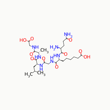 CC(C)C[C@H](NC(=O)CNC(=O)[C@H](CCCCCC(=O)O)NC(=O)[C@@H](N)CCC(N)=O)C(=O)N[C@@H](C)C(=O)NCC(=O)O